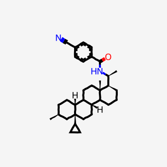 C[C@H]1CC[C@@H]2C3CC[C@@]4(C)C(CCC[C@@H]4[C@H](C)NC(=O)c4ccc(C#N)cc4)[C@@H]3CC[C@]2(C2CC2)C1